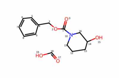 O=C(OCc1ccccc1)N1CCCC(O)C1.O=CO